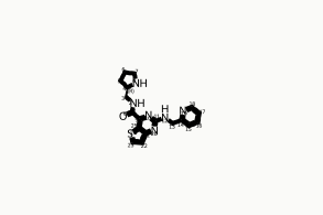 O=C(NC[C@H]1CCCN1)c1nc(NCc2ccccn2)nc2ccsc12